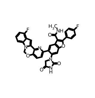 CNC(=O)c1c(-c2ccc(F)cc2)oc2cc(N3CC(=O)NC3=O)c(-c3ccc4c(n3)-c3cc5c(F)cccc5n3CO4)cc12